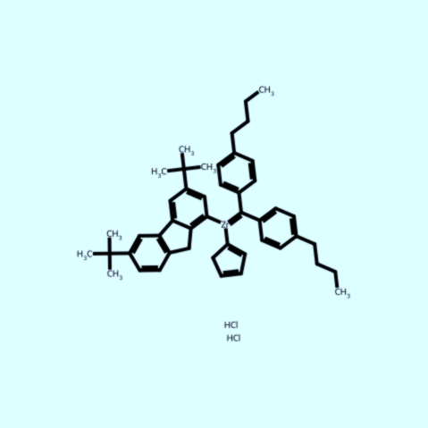 CCCCc1ccc([C](c2ccc(CCCC)cc2)=[Zr]([C]2=CC=CC2)[c]2cc(C(C)(C)C)cc3c2Cc2ccc(C(C)(C)C)cc2-3)cc1.Cl.Cl